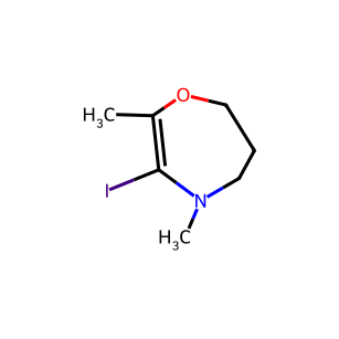 CC1=C(I)N(C)CCCO1